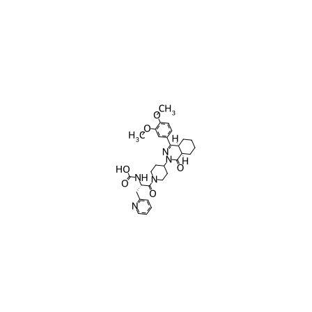 COc1ccc(C2=NN(C3CCN(C(=O)[C@H](Cc4ccccn4)NC(=O)O)CC3)C(=O)[C@@H]3CCCC[C@H]23)cc1OC